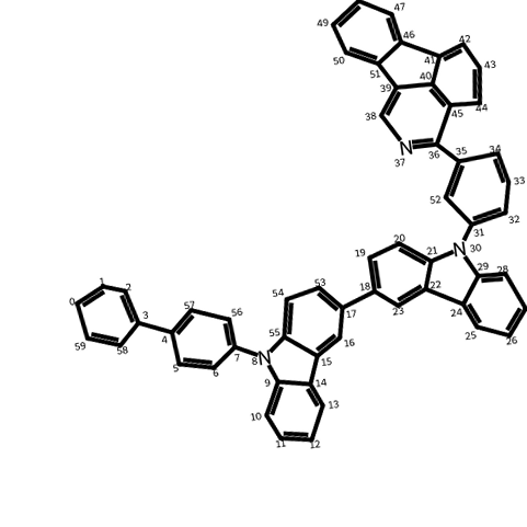 c1ccc(-c2ccc(-n3c4ccccc4c4cc(-c5ccc6c(c5)c5ccccc5n6-c5cccc(-c6ncc7c8c(cccc68)-c6ccccc6-7)c5)ccc43)cc2)cc1